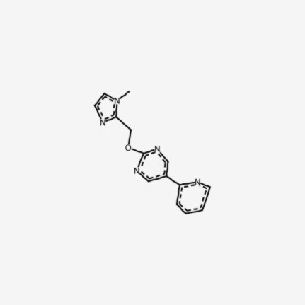 Cn1ccnc1COc1ncc(-c2ccccn2)cn1